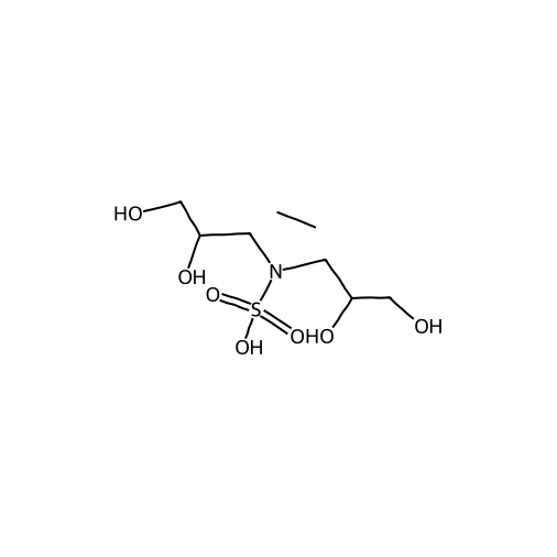 CC.O=S(=O)(O)N(CC(O)CO)CC(O)CO